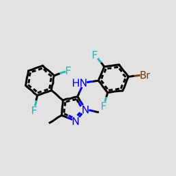 Cc1nn(C)c(Nc2c(F)cc(Br)cc2F)c1-c1c(F)cccc1F